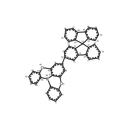 c1ccc2c(c1)Oc1cc(-c3ccc4c(c3)-c3ccccc3C43c4ccccc4-c4ccccc43)cc3c1B2c1ccccc1O3